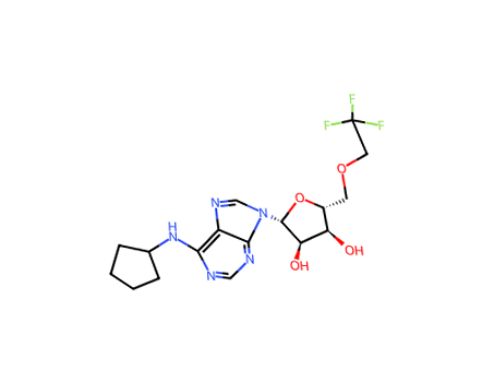 O[C@@H]1[C@H](O)[C@@H](COCC(F)(F)F)O[C@H]1n1cnc2c(NC3CCCC3)ncnc21